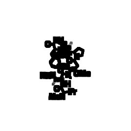 CC[C@H](C)[C@@H]([C@@H](CC(=O)N1CCCC1[C@H](OC)[C@@H](C)C(=O)NC(Cc1ccccc1)C(N)=O)OC)N(C)C(=O)[C@@H](NC(=O)C(NC)C(C)C)[C@H](C)N=[N+]=[N-]